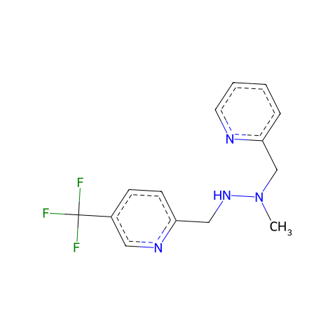 CN(Cc1ccccn1)NCc1ccc(C(F)(F)F)cn1